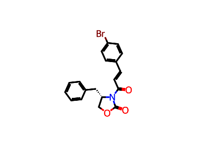 O=C(/C=C/c1ccc(Br)cc1)N1C(=O)OC[C@@H]1Cc1ccccc1